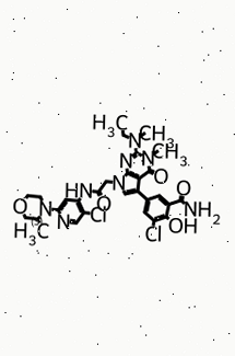 CCN(C)c1nc2c(c(-c3cc(Cl)c(O)c(C(N)=O)c3)cn2CC(=O)Nc2cc(N3CCOC[C@@H]3C)ncc2Cl)c(=O)n1C